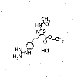 CCOC(=O)c1sc(NC(C)=O)nc1CCc1ccc(NC(=N)N)cc1.Cl